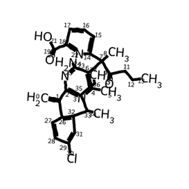 C=C(c1nc(C)c(C(C)(C(=O)CCC)c2cccc(C(=O)O)n2)c(N)n1)c1ccc(Cl)cc1C(C)CCC